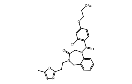 CC(=O)OCCOc1ccc(C(=O)N2CC(=O)N(CCc3nnc(C)o3)Cc3ccccc32)c(Cl)c1